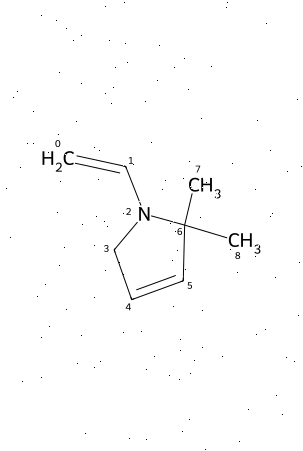 C=CN1CC=CC1(C)C